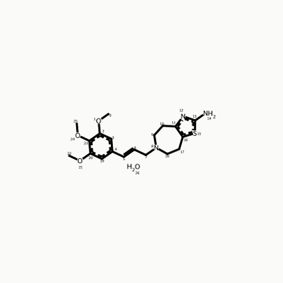 COc1cc(C=CCN2CCc3nc(N)sc3CC2)cc(OC)c1OC.O